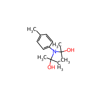 Cc1ccc(N(C(C)(C)O)C(C)(C)O)cc1